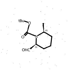 C[C@H]1CCC[C@@H](C=O)N1C(=O)OC(C)(C)C